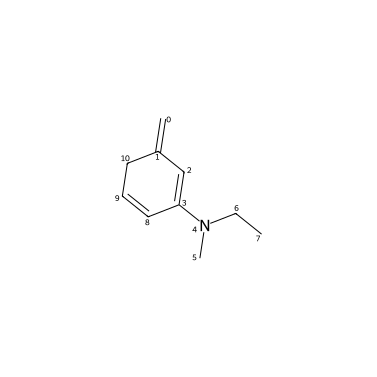 C=C1C=C(N(C)CC)C=CC1